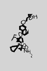 NC(=O)C1(C(=O)N(c2ccccc2)c2ccc(Oc3ccnc4cc(OCCC5(O)CC5)ccc34)c(F)c2)CC1